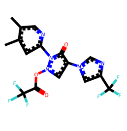 Cc1cnc(-n2c(=O)c(-n3cnc(C(F)(F)F)c3)cn2OC(=O)C(F)(F)F)cc1C